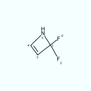 FC1(F)C=CN1